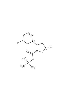 CC(C)(C)OC(=O)N1C[C@@H](F)CC1[C@H]1C=CC=C(F)C1